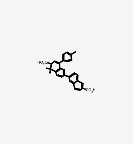 Cc1ccc(C2=CC(C(=O)O)C(C)(C)c3ccc(-c4ccc5cc(C(=O)O)ccc5c4)cc32)cc1